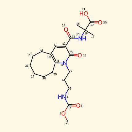 COC(=O)NCCCn1c2c(cc(C(=O)NC(C)(C)C(=O)O)c1=O)CCCCCC2